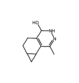 CC1=NNC(O)C2=C1C1CC1CC2